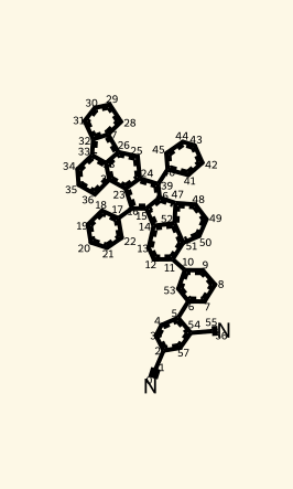 N#Cc1ccc(-c2cccc(-c3ccc4c5c(-c6ccccc6)c6c(cc7c8ccccc8c8cccc6c87)c(-c6ccccc6)c5c5cccc3c54)c2)c(C#N)c1